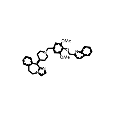 COc1cc(CN2CCC(=C3c4ccccc4CCn4ccnc43)CC2)cc(OC)c1OCc1ccc2ccccc2n1